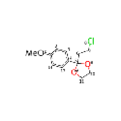 COc1ccc(C2(CCCl)OCCO2)cc1